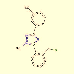 Cc1cccc(-c2nc(-c3ccccc3CBr)n(C)n2)c1